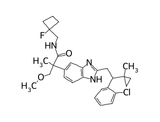 COCC(C)(C(=O)NCC1(F)CCC1)c1ccc2[nH]c(CC(c3ccccc3Cl)C3(C)CC3)nc2c1